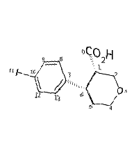 O=C(O)[C@@H]1COCC[C@@H]1c1ccc(I)cc1